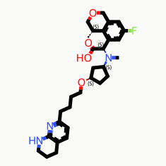 C[C@@H]1COCc2cc(F)cc([C@@H](C(=O)O)N(C)[C@H]3CC[C@H](OCCCCc4ccc5c(n4)NCCC5)C3)c21